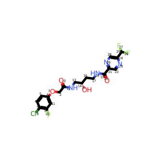 O=C(COc1ccc(Cl)c(F)c1)NC[C@@H](O)CCNC(=O)c1cnc(C(F)F)cn1